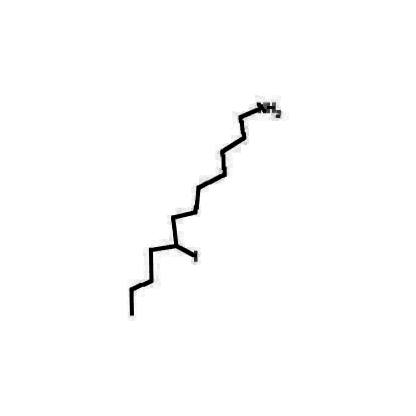 CCCCC(I)CCCCCCCN